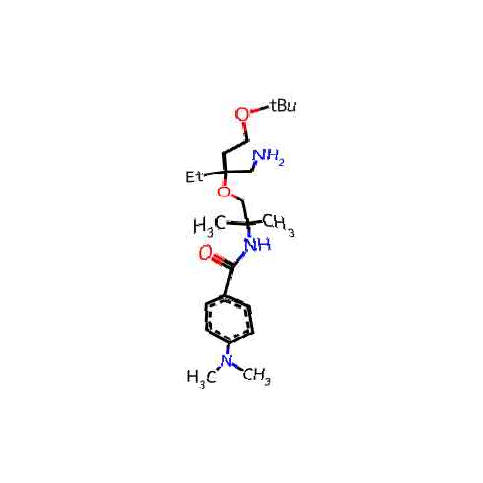 CCC(CN)(CCOC(C)(C)C)OCC(C)(C)NC(=O)c1ccc(N(C)C)cc1